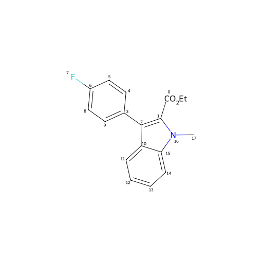 CCOC(=O)c1c(-c2ccc(F)cc2)c2ccccc2n1C